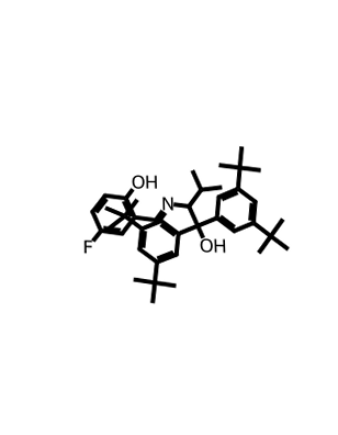 CC(C)C(N=Cc1cc(F)ccc1O)C(O)(c1cc(C(C)(C)C)cc(C(C)(C)C)c1)c1cc(C(C)(C)C)cc(C(C)(C)C)c1